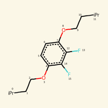 CC(C)CCOc1ccc(OCCC(C)C)c(F)c1F